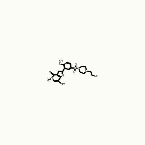 CCCOc1ccc(S(=O)(=O)N2CCN(CCO)CC2)cc1C1=Nc2c(CCC)cn(CC)c(=O)c2C1